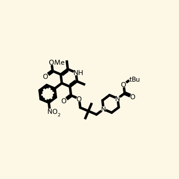 COC(=O)C1=C(C)NC(C)=C(C(=O)OCC(C)(C)CN2CCN(C(=O)OC(C)(C)C)CC2)C1c1cccc([N+](=O)[O-])c1